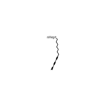 [C]#CC#CC#CCCCCCCCCCCCCCC